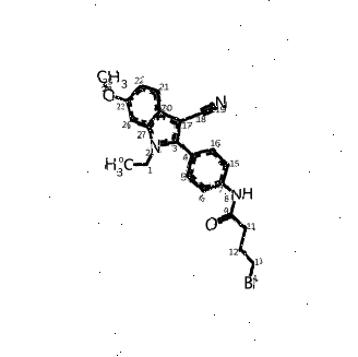 CCn1c(-c2ccc(NC(=O)CCCBr)cc2)c(C#N)c2ccc(OC)cc21